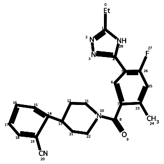 CCc1nnc(-c2cc(C(=O)N3CCC(c4ccccc4C#N)CC3)c(C)cc2F)[nH]1